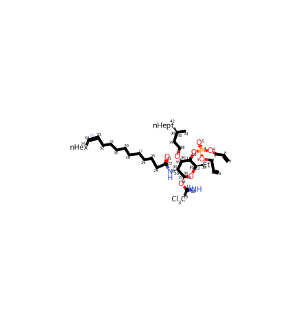 C=CCOP(=O)(OCC=C)OC1[C@@H](CC)O[C@H](OC(=N)C(Cl)(Cl)Cl)[C@H](NC(=O)CCCCCCCCC/C=C\CCCCCC)[C@H]1OCC[C@H](C)CCCCCCC